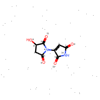 O=C1C=C(N2C(=O)CC(O)C2=O)C(=O)N1